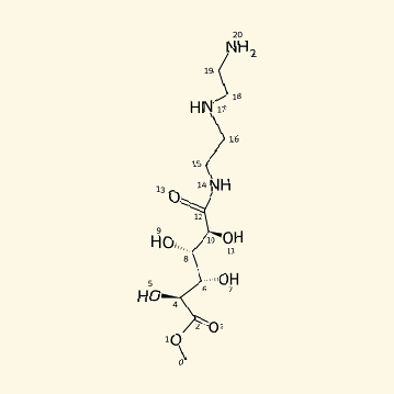 COC(=O)[C@@H](O)[C@@H](O)[C@H](O)[C@H](O)C(=O)NCCNCCN